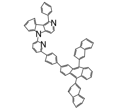 c1ccc(-c2nccc3c2c2ccccc2n3-c2cccc(-c3ccc(-c4ccc5c(-c6ccc7ccccc7c6)c6ccccc6c(-c6ccc7ccccc7c6)c5c4)cc3)n2)cc1